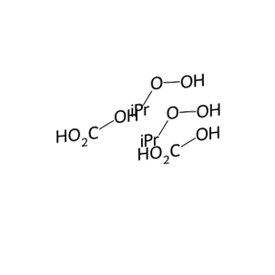 CC(C)OO.CC(C)OO.O=C(O)O.O=C(O)O